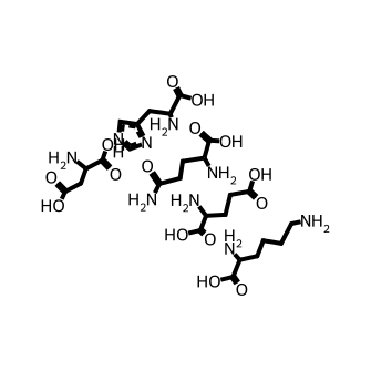 NC(=O)CCC(N)C(=O)O.NC(CC(=O)O)C(=O)O.NC(CCC(=O)O)C(=O)O.NC(Cc1c[nH]cn1)C(=O)O.NCCCCC(N)C(=O)O